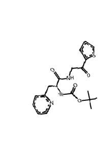 CC(C)(C)OC(=O)N[C@@H](Cc1ccccn1)C(=O)NCC(=O)c1cccs1